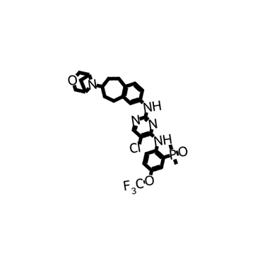 CP(C)(=O)c1cc(OC(F)(F)F)ccc1Nc1nc(Nc2ccc3c(c2)CCC(N2C4COCC2C4)CC3)ncc1Cl